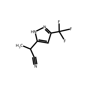 CC(C#N)c1[c]c(C(F)(F)F)n[nH]1